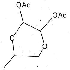 CC(=O)OC1OCC(C)OC1OC(C)=O